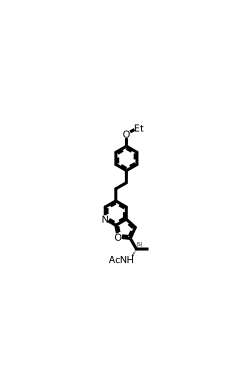 CCOc1ccc(CCc2cnc3oc([C@H](C)NC(C)=O)cc3c2)cc1